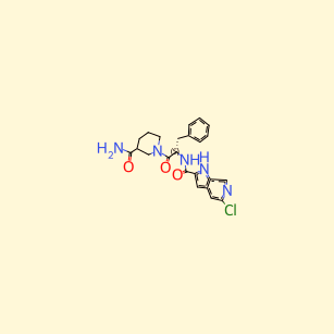 NC(=O)C1CCCN(C(=O)[C@H](Cc2ccccc2)NC(=O)c2cc3cc(Cl)ncc3[nH]2)C1